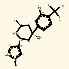 C[C@H]1C[C@@](O)(c2ccc(C(F)(F)F)c(Cl)c2)C[C@@H](c2cn(C)nn2)N1